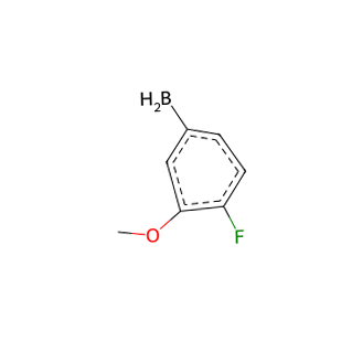 Bc1ccc(F)c(OC)c1